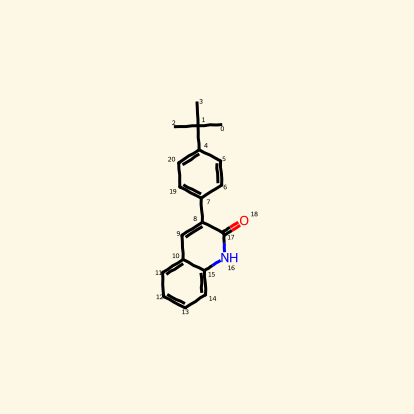 CC(C)(C)c1ccc(-c2cc3ccccc3[nH]c2=O)cc1